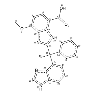 COc1ccc(C(=O)O)c2[nH]c(C(C)(c3ccccc3)c3cccc4[nH]nnc34)nc12